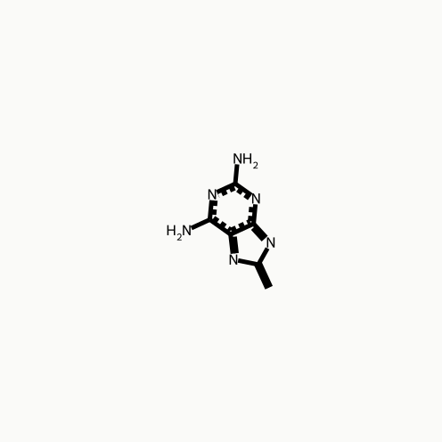 C=C1N=c2nc(N)nc(N)c2=N1